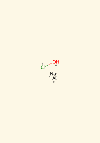 OCl.[Al].[Na]